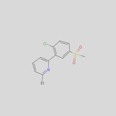 CCc1cccc(-c2cc(S(C)(=O)=O)ccc2Cl)n1